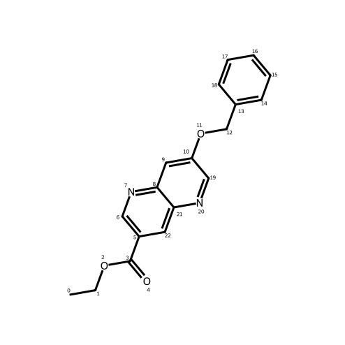 CCOC(=O)c1cnc2cc(OCc3ccccc3)cnc2c1